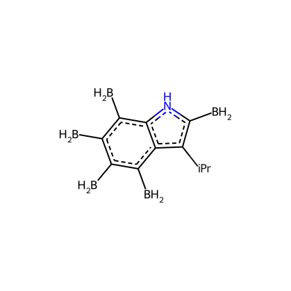 Bc1[nH]c2c(B)c(B)c(B)c(B)c2c1C(C)C